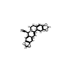 N#CC1c2cc3c(cc2C=C2c4cc5c(cc4CCN21)OCO5)OCO3